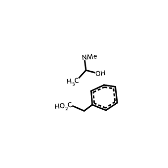 CNC(C)O.O=C(O)Cc1ccccc1